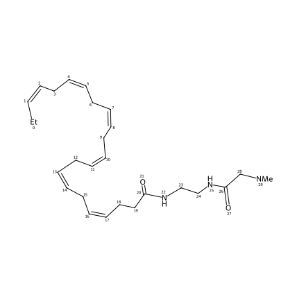 CC/C=C\C/C=C\C/C=C\C/C=C\C/C=C\C/C=C\CCC(=O)NCCNC(=O)CNC